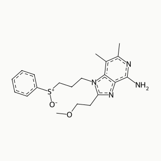 COCCc1nc2c(N)nc(C)c(C)c2n1CCC[S+]([O-])c1ccccc1